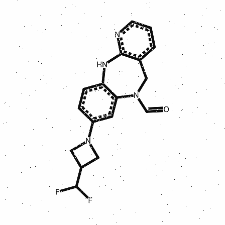 O=CN1Cc2cccnc2Nc2ccc(N3CC(C(F)F)C3)cc21